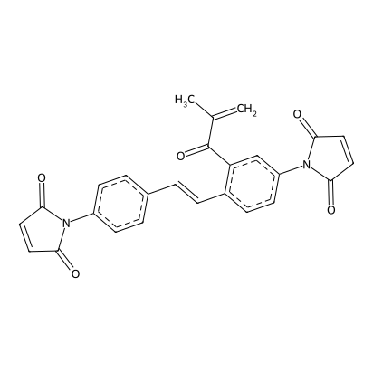 C=C(C)C(=O)c1cc(N2C(=O)C=CC2=O)ccc1/C=C/c1ccc(N2C(=O)C=CC2=O)cc1